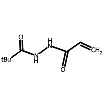 C=CC(=O)NNC(=O)C(C)(C)C